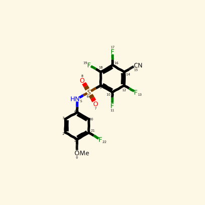 COc1ccc(NS(=O)(=O)c2c(F)c(F)c(C#N)c(F)c2F)cc1F